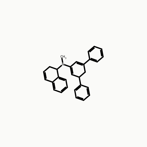 CN(C1=CC(c2ccccc2)CC(c2ccccc2)=C1)C1CC=Cc2ccccc21